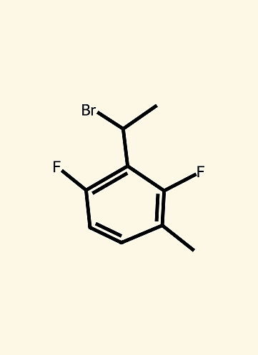 Cc1ccc(F)c(C(C)Br)c1F